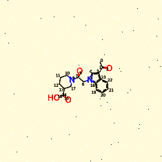 CC(=O)c1cn(CC(=O)N2CCCC(C(=O)O)C2)c2ccccc12